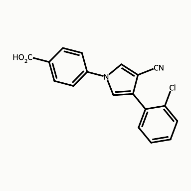 N#Cc1cn(-c2ccc(C(=O)O)cc2)cc1-c1ccccc1Cl